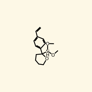 C=Cc1ccc(C2([SiH](OC)OC)CCCCO2)cc1